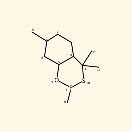 CC1CCC2C(C1)OP(C)SC2(C)C